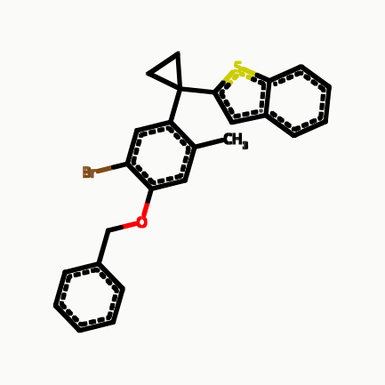 Cc1cc(OCc2ccccc2)c(Br)cc1C1(c2cc3ccccc3s2)CC1